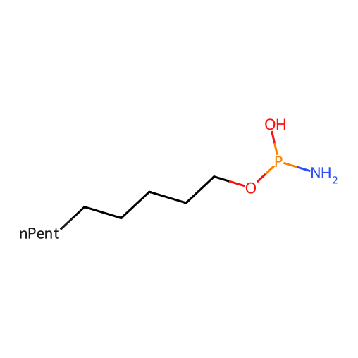 CCCCCCCCCCOP(N)O